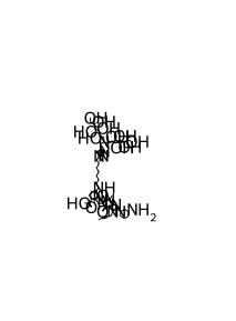 CC#CCn1c(N2CCC[C@@H](N)C2)nc2c1c(=O)n(Cc1nc(NCCCCCCCn3cc(CN(C[C@H](O)[C@@H](O)[C@H](O)[C@H](O)CO)C[C@H](O)[C@@H](O)[C@H](O)[C@H](O)CO)nn3)ccc1C(=O)O)c(=O)n2C